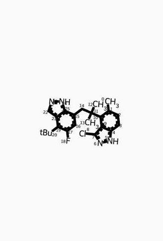 Cc1ccc2[nH]nc(Cl)c2c1C(C)(C)Cc1cc(F)c(C(C)(C)C)c2cn[nH]c12